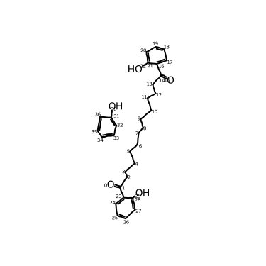 O=C(CCCCCCCCCCCCC(=O)c1ccccc1O)c1ccccc1O.Oc1ccccc1